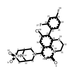 O=c1nc(N2CC3CS(=O)(=O)CC(C2)N3)c2cc(Cl)c(-c3ccc(F)cc3F)c3c2n1CCS3